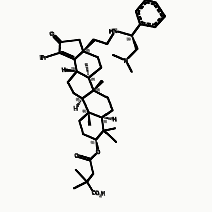 CC(C)C1=C2[C@H]3CC[C@@H]4[C@@]5(C)CC[C@H](OC(=O)CC(C)(C)C(=O)O)C(C)(C)[C@@H]5CC[C@@]4(C)[C@]3(C)CC[C@@]2(CCN[C@H](CN(C)C)c2ccccc2)CC1=O